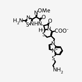 CO/N=C(\C(=O)N[C@@H]1C(=O)N2C(C(=O)[O-])=C(Cn3cc[n+]4c(SCCN)cccc34)CS[C@@H]12)c1nsc(N)n1